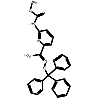 CC(C)(C)OC(=O)Nc1cccc(/C(=N/OC(c2ccccc2)(c2ccccc2)c2ccccc2)C(=O)O)n1